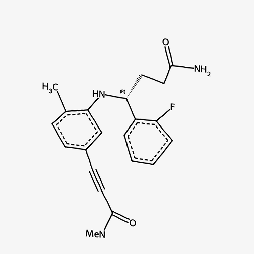 CNC(=O)C#Cc1ccc(C)c(N[C@H](CCC(N)=O)c2ccccc2F)c1